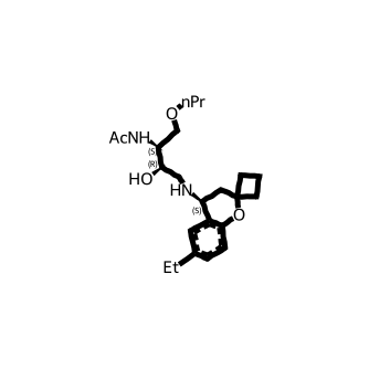 CCCOC[C@H](NC(C)=O)[C@H](O)CN[C@H]1CC2(CCC2)Oc2ccc(CC)cc21